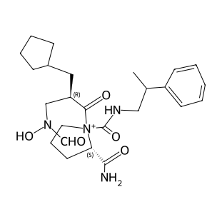 CC(CNC(=O)[N+]1(C(=O)[C@H](CC2CCCC2)CN(O)C=O)CCC[C@H]1C(N)=O)c1ccccc1